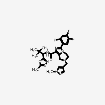 Cc1nnc(C(NC(=O)c2nc(-c3cc(F)c(F)cc3F)n3c2CN(Cc2cnn(C)c2)CC3)C(C)(C)C)o1